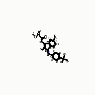 CON(C)C(=O)CC1=C(C)/C(=C/c2ccc(C(C)(C)C)cc2)c2ccc(F)cc21